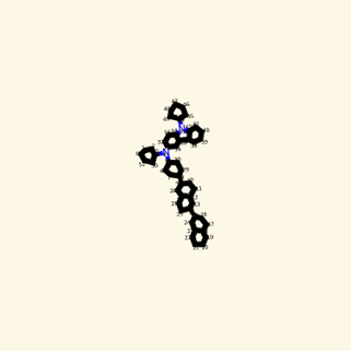 c1ccc(N(c2ccc(-c3ccc4cc(-c5ccc6ccccc6c5)ccc4c3)cc2)c2ccc3c(c2)c2ccccc2n3-c2ccccc2)cc1